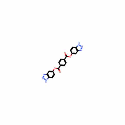 O=C(Oc1ccc2[nH]nnc2c1)c1ccc(C(=O)Oc2ccc3[nH]nnc3c2)cc1